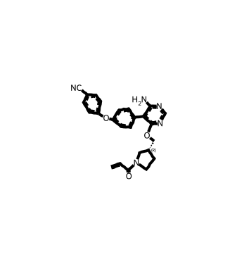 C=CC(=O)N1CC[C@@H](COc2ncnc(N)c2-c2ccc(Oc3ccc(C#N)cc3)cc2)C1